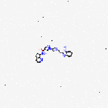 O=C(NC1CCc2cccnc21)c1cnn(C2CN(CCc3nc4ccccc4[nH]3)C2)c1